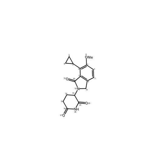 COc1ccc2c(c1C1CC1)C(=O)N(C1CCC(=O)NC1=O)C2